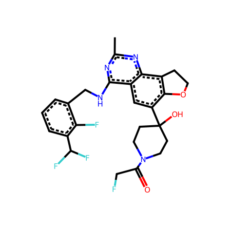 Cc1nc(NCc2cccc(C(F)F)c2F)c2cc(C3(O)CCN(C(=O)CF)CC3)c3c(c2n1)CCO3